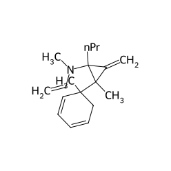 C=CN(C)C1(CCC)C(=C)C1(C)C1(C)C=CC=CC1